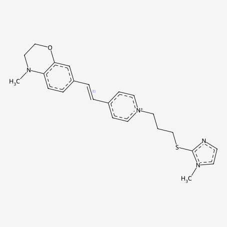 CN1CCOc2cc(/C=C/c3cc[n+](CCCSc4nccn4C)cc3)ccc21